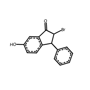 O=C1c2cc(O)ccc2C(c2ccccc2)C1Br